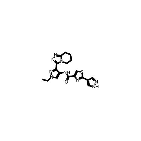 CCn1cc(NC(=O)c2csc(-c3cn[nH]c3)n2)c(-c2nnc3n2CCCC3)n1